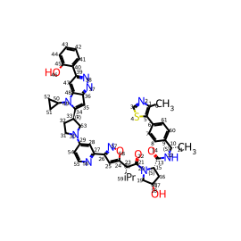 Cc1ncsc1-c1ccc([C@H](C)NC(=O)[C@@H]2C[C@@H](O)CN2C(=O)[C@@H](c2cc(-c3cc(N4CC[C@@H](c5cc6nnc(-c7ccccc7O)cc6n5C5CC5)C4)ccn3)no2)C(C)C)cc1